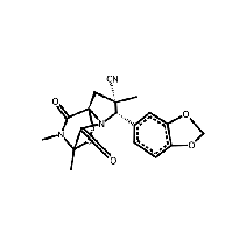 CN1C(=O)[C@]23C[C@](C)(C#N)[C@H](c4ccc5c(c4)OCO5)N2C(=O)C1(C)SS3